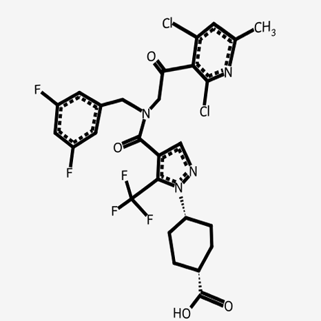 Cc1cc(Cl)c(C(=O)CN(Cc2cc(F)cc(F)c2)C(=O)c2cnn([C@H]3CC[C@@H](C(=O)O)CC3)c2C(F)(F)F)c(Cl)n1